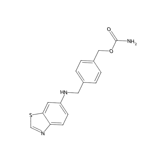 NC(=O)OCc1ccc(CNc2ccc3ncsc3c2)cc1